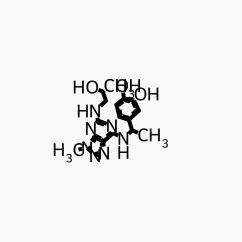 CC(O)CNc1nc(NC(C)c2ccc(O)c(O)c2)c2nnn(C)c2n1